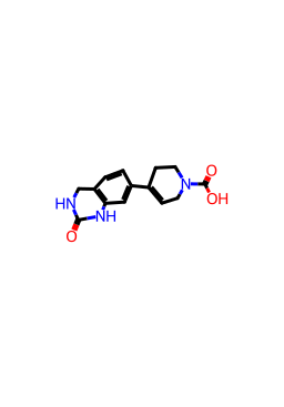 O=C1NCc2ccc(C3=CCN(C(=O)O)CC3)cc2N1